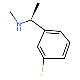 CN[C@@H](C)c1cccc(F)c1